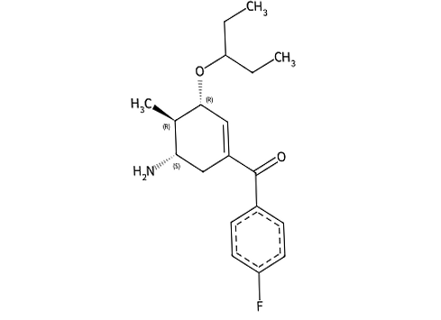 CCC(CC)O[C@@H]1C=C(C(=O)c2ccc(F)cc2)C[C@H](N)[C@H]1C